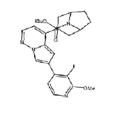 COc1nccc(-c2cc3c(N4CC5CCC(C4)N5C(=O)OCC(C)C)ccnn3c2)c1F